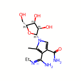 CC/N=C(/N)c1c(C(N)=O)cn([C@@H]2O[C@H](CO)[C@@H](O)[C@H]2O)c1C